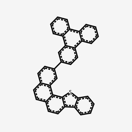 c1ccc2c(c1)sc1c2ccc2ccc3ccc(-c4ccc5c6ccccc6c6ccccc6c5c4)cc3c21